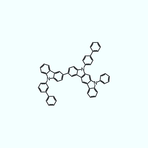 c1ccc(-c2ccc(-n3c4ccc(-c5ccc6c(c5)c5ccccc5n6-c5cccc(-c6ccccc6)c5)cc4c4cc5c6ccccc6n(-c6ccccc6)c5cc43)cc2)cc1